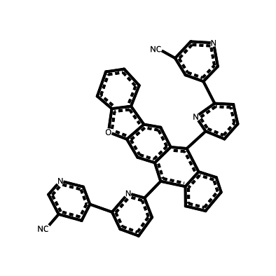 N#Cc1cncc(-c2cccc(-c3c4ccccc4c(-c4cccc(-c5cncc(C#N)c5)n4)c4cc5c(cc34)oc3ccccc35)n2)c1